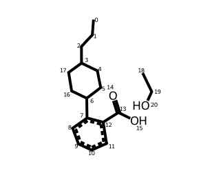 CCCC1CCC(c2ccccc2C(=O)O)CC1.CCO